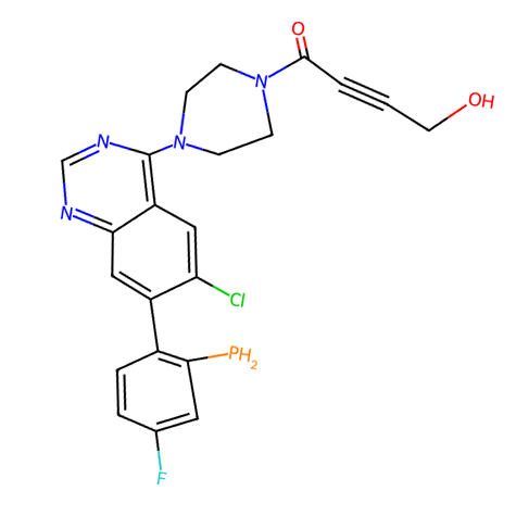 O=C(C#CCO)N1CCN(c2ncnc3cc(-c4ccc(F)cc4P)c(Cl)cc23)CC1